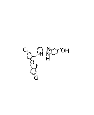 OCc1ccc2[nH]c(-c3cccc(Cc4cc(Cl)ccc4OCc4ccc(Cl)cc4F)n3)nc2c1